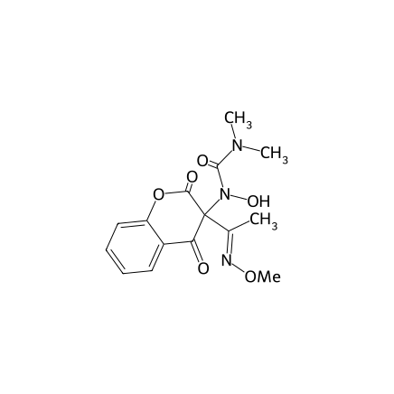 CON=C(C)C1(N(O)C(=O)N(C)C)C(=O)Oc2ccccc2C1=O